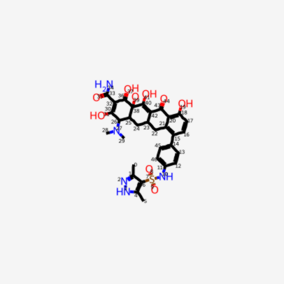 Cc1n[nH]c(C)c1S(=O)(=O)Nc1ccc(-c2ccc(O)c3c2CC2CC4C(N(C)C)C(O)=C(C(N)=O)C(=O)C4(O)C(O)=C2C3=O)cc1